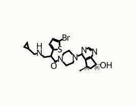 C[C@@H]1C[C@@H](O)c2ncnc(N3CCN(C(=O)C(CNCC4CC4)c4ccc(Br)s4)CC3)c21